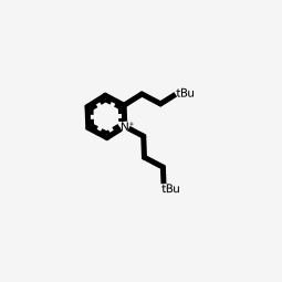 CC(C)(C)CCC[n+]1ccccc1CCC(C)(C)C